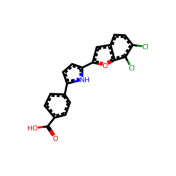 O=C(O)c1ccc(-c2ccc(-c3cc4ccc(Cl)c(Cl)c4o3)[nH]2)cc1